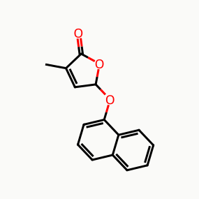 CC1=CC(Oc2cccc3ccccc23)OC1=O